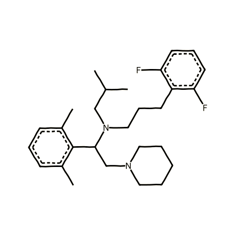 Cc1cccc(C)c1C(CN1CCCCC1)N(CCCc1c(F)cccc1F)CC(C)C